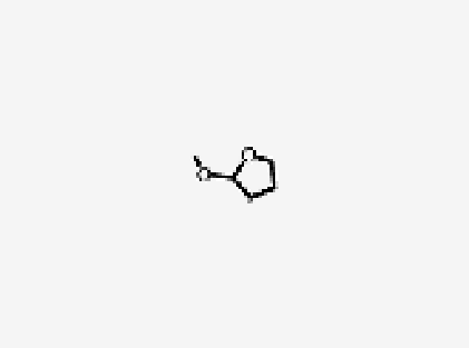 COC1[CH]CCO1